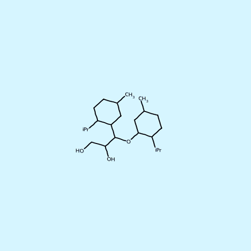 CC1CCC(C(C)C)C(OC(C(O)CO)C2CC(C)CCC2C(C)C)C1